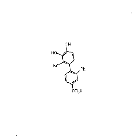 N#Cc1cc(C(=O)O)ccc1-c1ccc(O)c(O)c1C#N